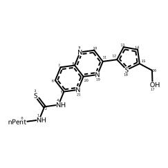 CCCCCNC(=S)Nc1ccc2ncc(-c3ccc(CO)s3)nc2n1